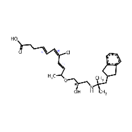 CC(/C=C/C(Cl)=C\C=C\CCC(=O)O)OC[C@H](O)CNC(C)(C)CC1Cc2ccccc2C1